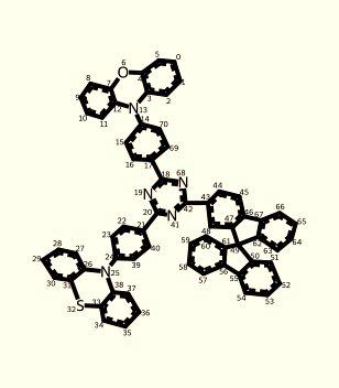 c1ccc2c(c1)Oc1ccccc1N2c1ccc(-c2nc(-c3ccc(N4c5ccccc5Sc5ccccc54)cc3)nc(-c3ccc4c(c3)C3(c5ccccc5-c5ccccc53)c3ccccc3-4)n2)cc1